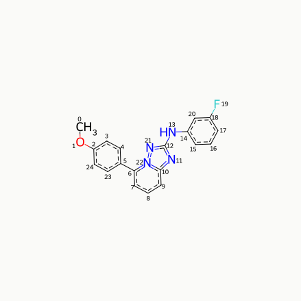 COc1ccc(-c2cccc3nc(Nc4cccc(F)c4)nn23)cc1